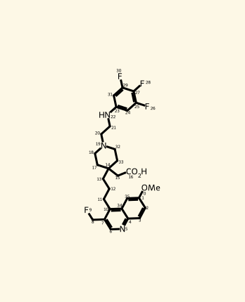 COc1ccc2ncc(CF)c(CCCC3(CC(=O)O)CCN(CCNc4cc(F)c(F)c(F)c4)CC3)c2c1